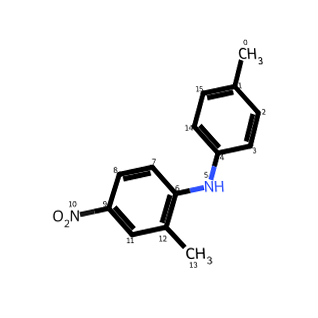 Cc1ccc(Nc2ccc([N+](=O)[O-])cc2C)cc1